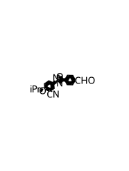 CC(C)Oc1ccc(-c2noc(-c3ccc(C=O)cc3)n2)cc1C#N